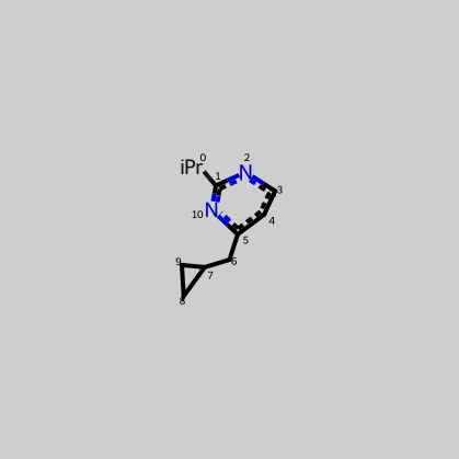 CC(C)c1n[c]cc(CC2CC2)n1